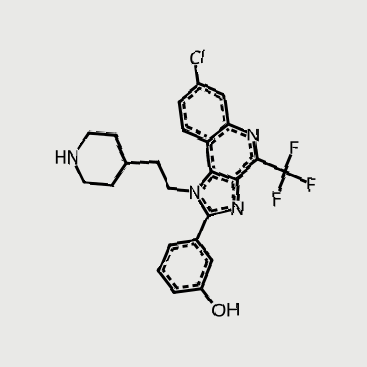 Oc1cccc(-c2nc3c(C(F)(F)F)nc4cc(Cl)ccc4c3n2CCC2CCNCC2)c1